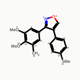 COc1cc(-c2nocc2-c2ccc(SC)cc2)cc(C)c1OC